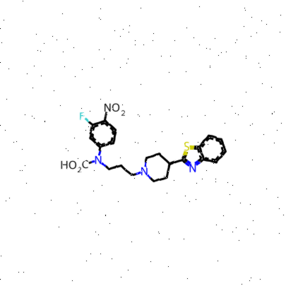 O=C(O)N(CCCN1CCC(c2nc3ccccc3s2)CC1)c1ccc([N+](=O)[O-])c(F)c1